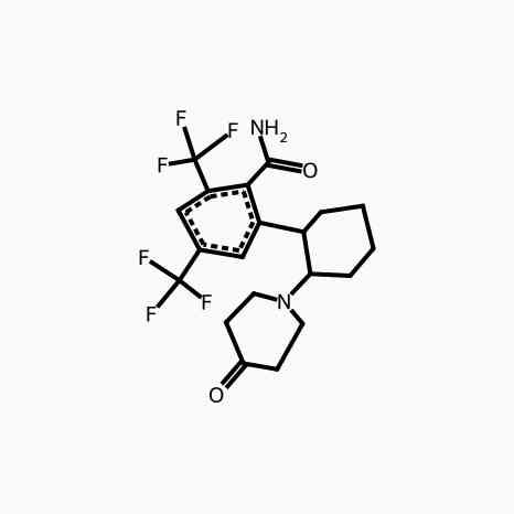 NC(=O)c1c(C2CCCCC2N2CCC(=O)CC2)cc(C(F)(F)F)cc1C(F)(F)F